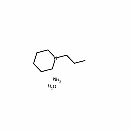 CCCN1CCCCC1.N.O